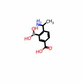 CC(N)c1ccc(C(=O)O)cc1B(O)O